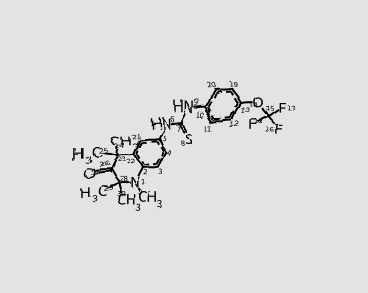 CN1c2ccc(NC(=S)Nc3ccc(OC(F)(F)F)cc3)cc2C(C)(C)C(=O)C1(C)C